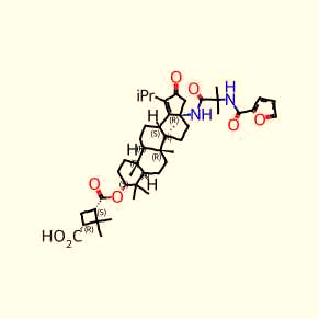 CC(C)C1=C2[C@H]3CC[C@@H]4[C@@]5(C)CC[C@H](OC(=O)[C@H]6C[C@@H](C(=O)O)C6(C)C)C(C)(C)[C@@H]5CC[C@@]4(C)[C@]3(C)CC[C@@]2(NC(=O)C(C)(C)NC(=O)c2ccco2)CC1=O